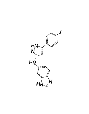 Fc1ccc(-c2cc(Nc3ccc4nc[nH]c4c3)n[nH]2)cc1